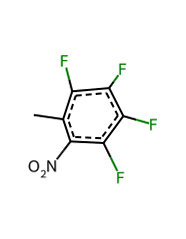 Cc1c(F)c(F)c(F)c(F)c1[N+](=O)[O-]